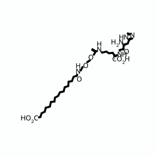 C=C(COCCOCCNC(=O)CCCCCCCCCCCCCCCCC(=O)O)NCCCC[C@H](NCC(=O)[C@@H](N)Cc1cnc[nH]1)C(=O)O